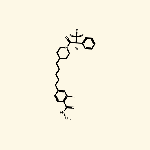 CNC(=O)c1ccc(CCCCCC2CCN(C(=O)[C@](O)(c3ccccc3)C(F)(F)F)CC2)cc1Cl